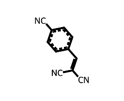 N#CC(C#N)=Cc1ccc(C#N)cc1